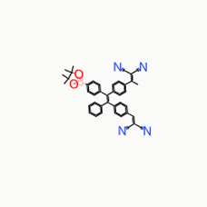 CC(=C(C#N)C#N)c1ccc(C(=C(c2ccccc2)c2ccc(C=C(C#N)C#N)cc2)c2ccc(B3OC(C)(C)C(C)(C)O3)cc2)cc1